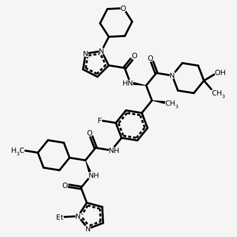 CCn1nccc1C(=O)N[C@H](C(=O)Nc1ccc([C@H](C)[C@@H](NC(=O)c2ccnn2C2CCOCC2)C(=O)N2CCC(C)(O)CC2)cc1F)C1CCC(C)CC1